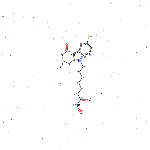 CC1(C)CC(=O)c2c(n(CCCCCCC(=O)NO)c3ccc(F)cc23)C1